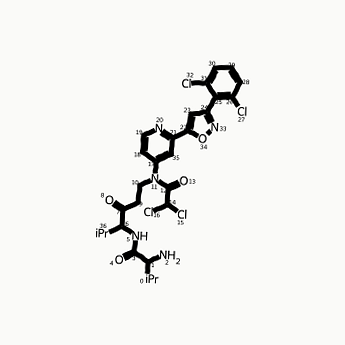 CC(C)C(N)C(=O)NC(C(=O)CCN(C(=O)C(Cl)Cl)c1ccnc(-c2cc(-c3c(Cl)cccc3Cl)no2)c1)C(C)C